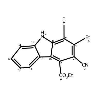 CCOC(=O)c1c(C#N)c(CC)c(F)c2[nH]c3ccccc3c12